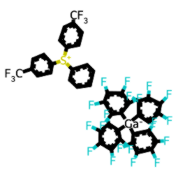 FC(F)(F)c1ccc([S+](c2ccccc2)c2ccc(C(F)(F)F)cc2)cc1.Fc1c(F)c(F)[c]([Ga-]([c]2c(F)c(F)c(F)c(F)c2F)([c]2c(F)c(F)c(F)c(F)c2F)[c]2c(F)c(F)c(F)c(F)c2F)c(F)c1F